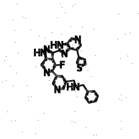 Fc1c(-c2cncc(CNCc3ccccc3)c2)ncc2[nH]nc(-c3nc4c(-c5ccsc5)cncc4[nH]3)c12